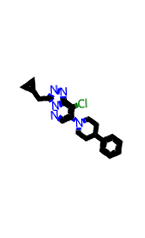 Clc1c(N2CCC(c3ccccc3)CC2)cnn2c(CC3CC3)nnc12